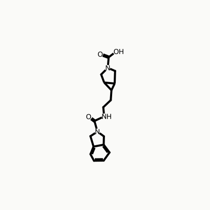 O=C(O)N1CC2C(CCNC(=O)N3Cc4ccccc4C3)C2C1